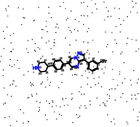 CC(C)c1cccc(-c2cnn3cc(-c4ccc(C5CCNCC5)cc4)cnc23)c1